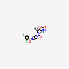 C[C@]12CCN(C(=O)N3CC4CN([S+]([O-])c5ccc(F)cc5Cl)CC4C3)C[C@H]1NC(=O)CO2